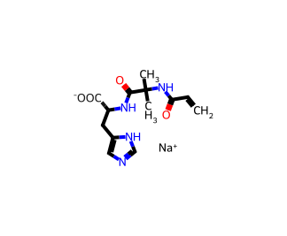 C=CC(=O)NC(C)(C)C(=O)NC(Cc1cnc[nH]1)C(=O)[O-].[Na+]